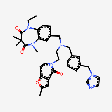 CCN1C(=O)C(C)(C)C(=O)N(C)c2cc(CN(CCn3ccc4oc(C)cc4c3=O)Cc3cccc(Cn4ccnc4)c3)ccc21